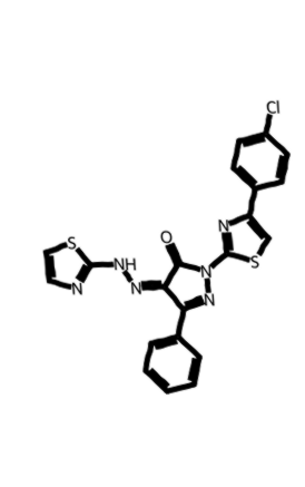 O=C1/C(=N\Nc2nccs2)C(c2ccccc2)=NN1c1nc(-c2ccc(Cl)cc2)cs1